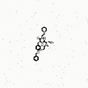 CC(C)CCN(C)[C@@H](CC(C)C)C(=O)N[C@@H](Cc1ccc(OCc2ccccc2)cc1)C(=O)NCCN1CCCCC1